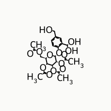 CC(=O)OC[C@H]1O[C@@H](Oc2ccc(CO)cc2C(O)O)[C@H](OC(C)=O)[C@@H](OC(C)=O)C1OC(C)=O